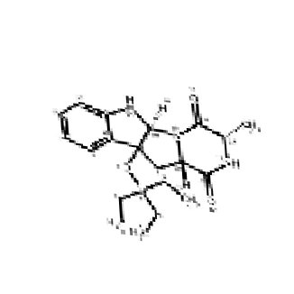 CC[Si](CC)(CC)OC12C[C@H]3C(=O)N[C@@H](C)C(=O)N3[C@@H]1Nc1ccccc12